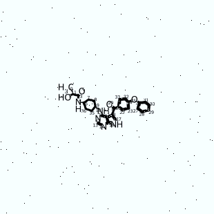 C[C@H](O)C(=O)N[C@H]1CC[C@@H](Nc2ncnc3[nH]cc(C(=O)c4ccc(Oc5ccccc5)cc4)c23)CC1